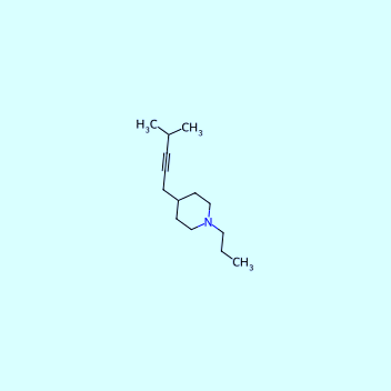 CCCN1CCC(CC#CC(C)C)CC1